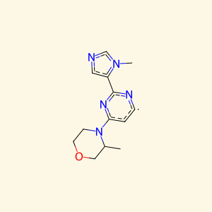 CC1COCCN1c1c[c]nc(-c2cncn2C)n1